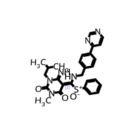 CC(C)CN1C(=N)/C(=C(\NCc2ccc(-c3ccncn3)cc2)[S+]([O-])c2ccccc2)C(=O)N(C)C1=O